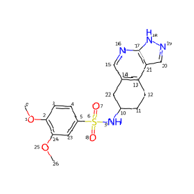 COc1ccc(S(=O)(=O)NC2CCc3c(cnc4[nH]ncc34)C2)cc1OC